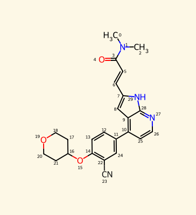 CN(C)C(=O)C=Cc1cc2c(-c3ccc(OC4CCOCC4)c(C#N)c3)ccnc2[nH]1